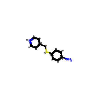 Nc1ccc(SCc2ccncc2)cc1